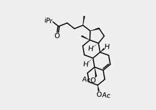 CC(=O)OC[C@]12CC[C@H](OC(C)=O)CC1=CC[C@@H]1[C@@H]2CC[C@]2(C)[C@@H]([C@H](C)CCC(=O)C(C)C)CC[C@@H]12